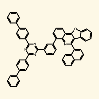 c1ccc(-c2ccc(-c3nc(-c4ccc(-c5ccccc5)cc4)nc(-c4cccc(-c5cccc6c5nc(-c5cccc7ccccc57)c5c7ccccc7oc65)c4)n3)cc2)cc1